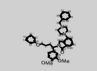 COc1ccc(C(CCCOc2ccccc2)N2Cc3c(cccc3N3CCN(Cc4ccccc4)CC3)C2=O)cc1OC